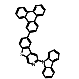 c1ccc2c(c1)c1ccccc1c1cc(-c3ccc4sc5cnc(-n6c7ccccc7c7ccccc76)cc5c4c3)ccc21